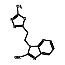 Cc1nnc(CCn2c(C=O)nc3ccccc32)o1